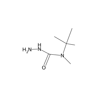 CN(C(=O)NN)C(C)(C)C